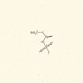 CCOC(=O)C[C@@H](C)OS(C)(=O)=O